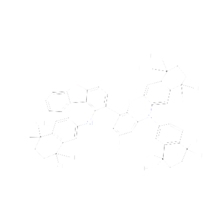 Cc1cc(-c2ccc3oc4ccccc4c3c2Nc2ccc3c(c2)C(C)(C)CCC3(C)C)c2c(c1)N(c1ccc3c(c1)C(C)(C)CCC3(C)C)c1cc3c(cc1B2)C(C)(C)CCC3(C)C